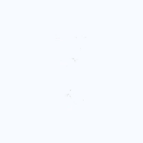 COc1cc(Br)cc(NC(=O)c2ccc3c(c2)CCCC(=O)N3)c1